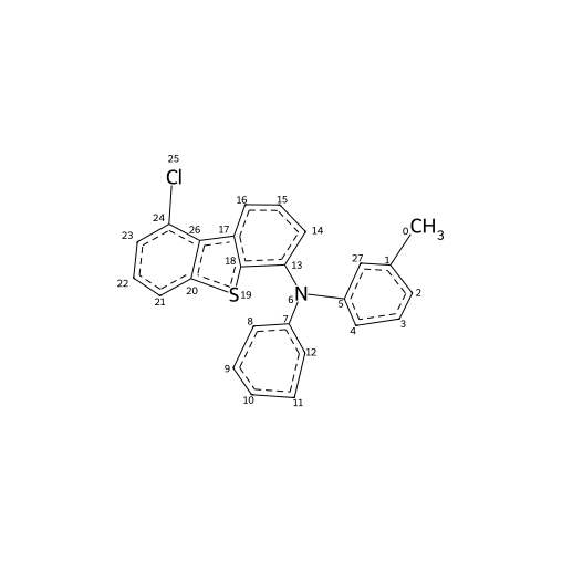 Cc1cccc(N(c2ccccc2)c2cccc3c2sc2cccc(Cl)c23)c1